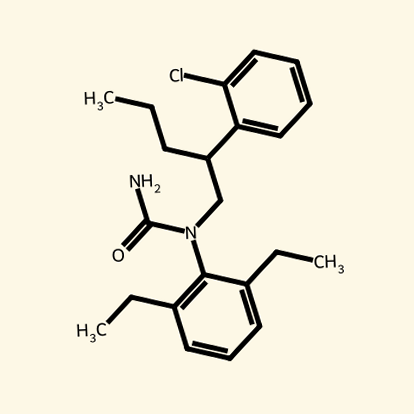 CCCC(CN(C(N)=O)c1c(CC)cccc1CC)c1ccccc1Cl